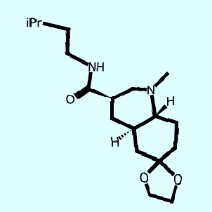 CC(C)CCNC(=O)[C@@H]1C[C@@H]2CC3(CC[C@H]2N(C)C1)OCCO3